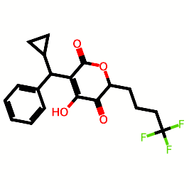 O=C1OC(CCCC(F)(F)F)C(=O)C(O)=C1C(c1ccccc1)C1CC1